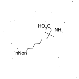 CCCCCCCCCCCCCCCC(C)(C)C(N)C(=O)O